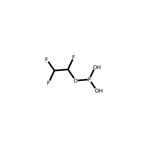 OP(O)OC(F)C(F)F